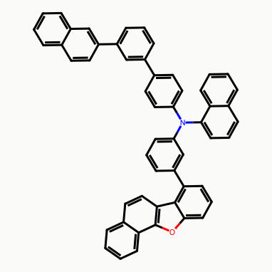 c1cc(-c2ccc(N(c3cccc(-c4cccc5oc6c7ccccc7ccc6c45)c3)c3cccc4ccccc34)cc2)cc(-c2ccc3ccccc3c2)c1